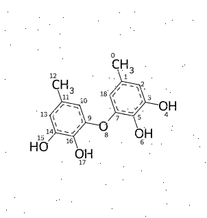 Cc1cc(O)c(O)c(Oc2cc(C)cc(O)c2O)c1